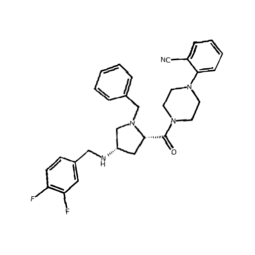 N#Cc1ccccc1N1CCN(C(=O)[C@@H]2C[C@H](NCc3ccc(F)c(F)c3)CN2Cc2ccccc2)CC1